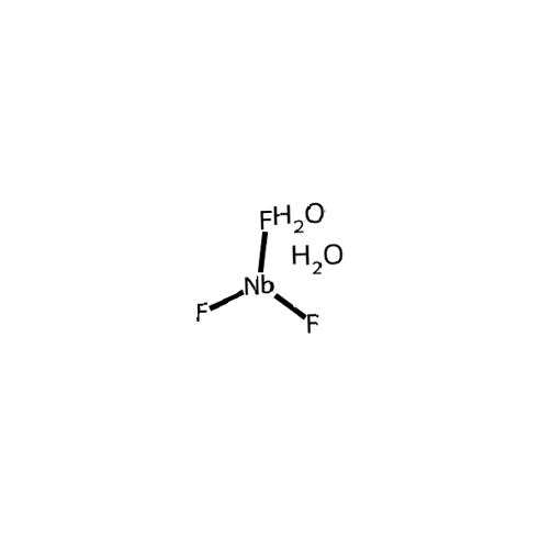 O.O.[F][Nb]([F])[F]